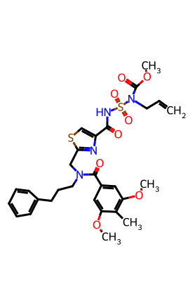 C=CCN(C(=O)OC)S(=O)(=O)NC(=O)c1csc(CN(CCCc2ccccc2)C(=O)c2cc(OC)c(C)c(OC)c2)n1